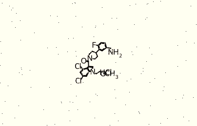 COCCn1cc(C(=O)N2CCC(c3cc(CN)ccc3F)CC2)c2c(Cl)cc(Cl)cc21.Cl